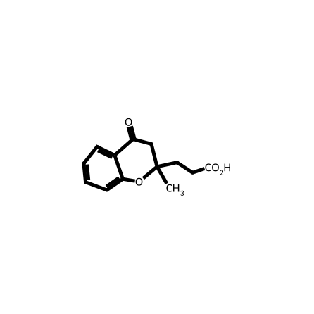 CC1(CCC(=O)O)CC(=O)c2ccccc2O1